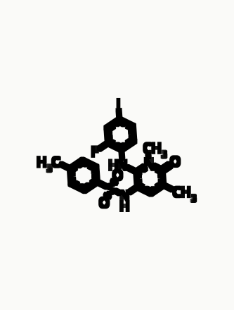 Cc1ccc(S(=O)(=O)Nc2cc(C)c(=O)n(C)c2Nc2ccc(I)cc2F)cc1